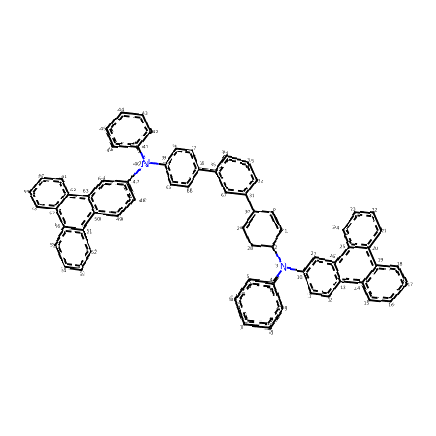 C1=CC(N(c2ccccc2)c2ccc3c4ccccc4c4ccccc4c3c2)CC=C1c1cccc(-c2ccc(N(c3ccccc3)c3ccc4c5ccccc5c5ccccc5c4c3)cc2)c1